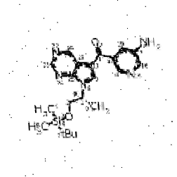 C[C@H](CO[Si](C)(C)C(C)(C)C)n1cc(C(=O)c2cncc(N)c2)c2cncnc21